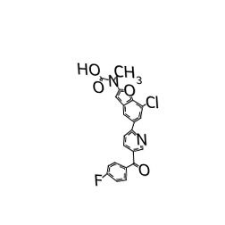 CN(C(=O)O)c1cc2cc(-c3ccc(C(=O)c4ccc(F)cc4)cn3)cc(Cl)c2o1